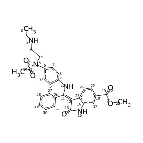 CCNCCN(c1ccc(NC(=C2C(=O)Nc3cc(C(=O)OC)ccc32)c2ccccc2)cc1)S(C)(=O)=O